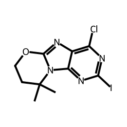 CC1(C)CCOc2nc3c(Cl)nc(I)nc3n21